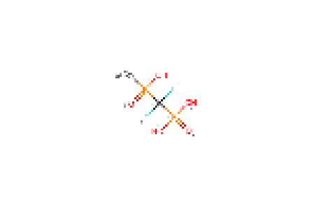 COP(=O)(O)C(F)(F)P(=O)(O)O